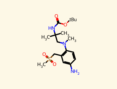 CN(CC(C)(C)NC(=O)OC(C)(C)C)c1ccc(N)cc1CS(C)(=O)=O